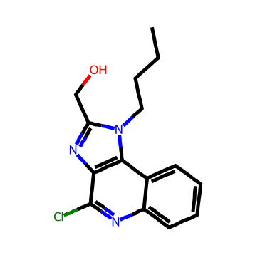 CCCCn1c(CO)nc2c(Cl)nc3ccccc3c21